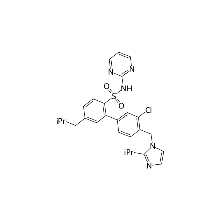 CC(C)Cc1ccc(S(=O)(=O)Nc2ncccn2)c(-c2ccc(Cn3ccnc3C(C)C)c(Cl)c2)c1